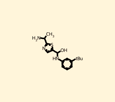 CC(N)c1ncc(C(O)Nc2cccc(C(C)(C)C)c2)s1